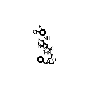 O=C(NCC1CN(Cc2ccccc2)CCO1)c1cc2c(Nc3ccc(F)c(Cl)c3)ncnc2s1